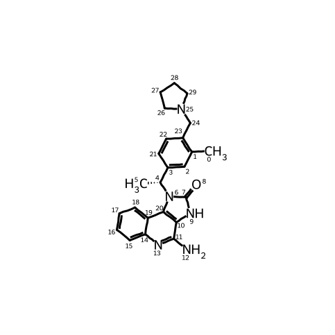 Cc1cc([C@@H](C)n2c(=O)[nH]c3c(N)nc4ccccc4c32)ccc1CN1CCCC1